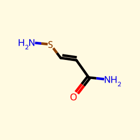 NSC=CC(N)=O